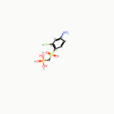 Nc1ccc(S(=O)(=O)CP(=O)(O)O)c(F)c1